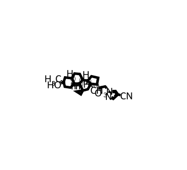 C[C@@]1(O)CC[C@H]2[C@H](CC[C@@H]3[C@@H]2C2(CC2)C[C@]2(C)[C@@H](C(=O)Cn4cc(C#N)cn4)CC[C@@H]32)C1